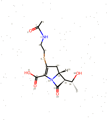 CC(=O)NCCSC1=C(C(=O)O)N2C(=O)[C@H]([C@@H](C)O)[C@H]2C1